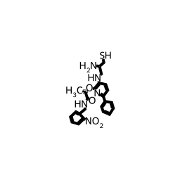 C[C@@H](Oc1nc(-c2ccccc2)ccc1NCC(N)CS)C(=O)NCc1ccccc1[N+](=O)[O-]